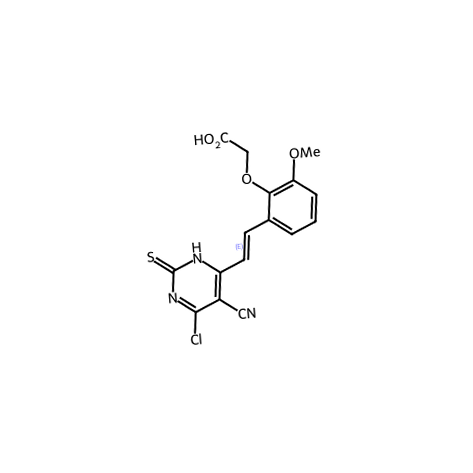 COc1cccc(/C=C/c2[nH]c(=S)nc(Cl)c2C#N)c1OCC(=O)O